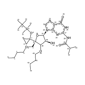 CCCCOC[C@@]1(C2(O[Si](C)(C)C(C)(C)C)CC2)O[C@@H](n2cnc3c(=O)[nH]c(NC(=O)C(C)C)nc32)[C@@H](O)C1OCCCC